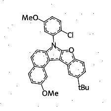 COc1ccc(Cl)c(-n2c3ccc4ccc(OC)cc4c3c3c4cc(C(C)(C)C)ccc4oc32)c1